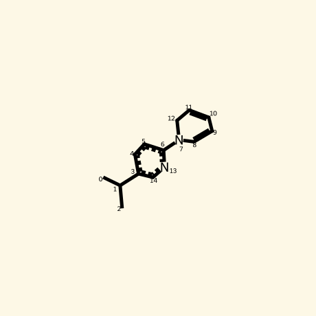 CC(C)c1ccc(N2C=CC=CC2)nc1